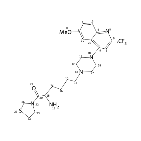 COc1ccc2nc(C(F)(F)F)cc(N3CCN(CCCCC(N)C(=O)N4CCSC4)CC3)c2c1